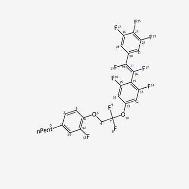 CCCCCc1ccc(OCC(F)(F)Oc2cc(F)c(/C(F)=C(\F)c3cc(F)c(F)c(F)c3)c(F)c2)c(F)c1